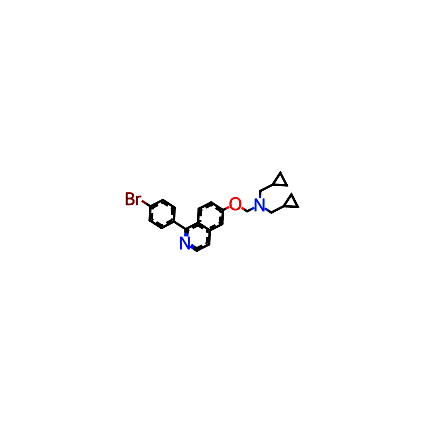 Brc1ccc(-c2nccc3cc(OCN(CC4CC4)CC4CC4)ccc23)cc1